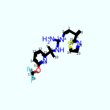 C=C(/C=C\N=C(/N)NC(C)(C)c1cccc(OC(F)F)n1)c1nccs1